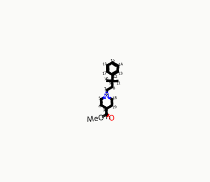 COC(=O)C1CCN(CCC(C)(C)c2ccccc2)CC1